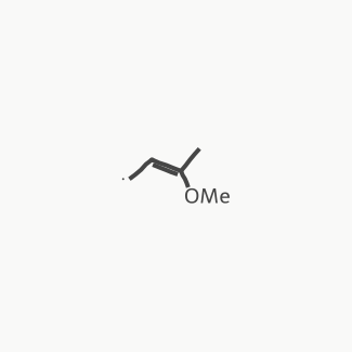 [CH2]/C=C(/C)OC